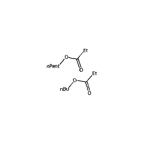 CCCCCOC(=O)CC.CCCCOC(=O)CC